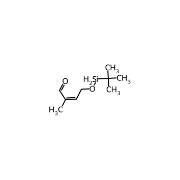 CC(C=O)=CCO[SiH2]C(C)(C)C